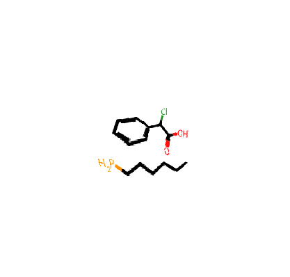 CCCCCCP.O=C(O)C(Cl)c1ccccc1